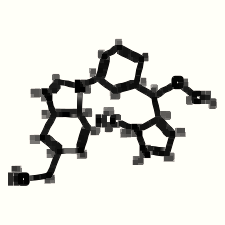 COC(c1cccc(-n2cnc3cc(CO)ccc32)c1)c1ccnn1C